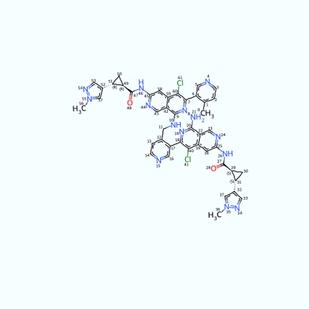 Cc1ccncc1-c1nc(NCc2ccncc2-c2nc(N)c3cnc(NC(=O)[C@H]4C[C@@H]4c4cnn(C)c4)cc3c2Cl)c2cnc(NC(=O)[C@@H]3C[C@H]3c3cnn(C)c3)cc2c1Cl